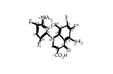 Nc1nc(-n2cc(C(=O)O)c(=O)c3c(N)c(F)c(F)c(Cl)c32)c(F)cc1F